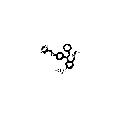 O=C(O)c1ccc(C=NO)c(C(CC2CCCCC2)c2ccc(OCc3cscn3)cc2)c1